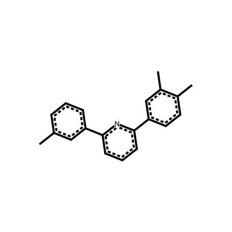 Cc1cccc(-c2cccc(-c3ccc(C)c(C)c3)n2)c1